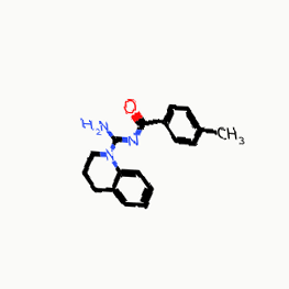 Cc1ccc(C(=O)N=C(N)N2CCCc3ccccc32)cc1